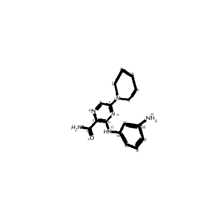 NC(=O)c1ncc(N2CCCCC2)nc1Nc1cccc(N)c1